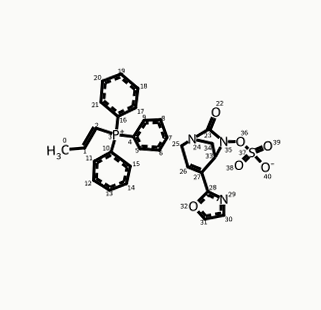 CC=C[P+](c1ccccc1)(c1ccccc1)c1ccccc1.O=C1N2CC=C(c3ncco3)C(C2)N1OS(=O)(=O)[O-]